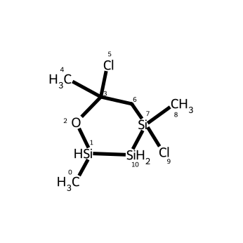 C[SiH]1OC(C)(Cl)C[Si](C)(Cl)[SiH2]1